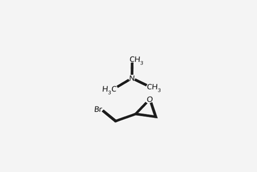 BrCC1CO1.CN(C)C